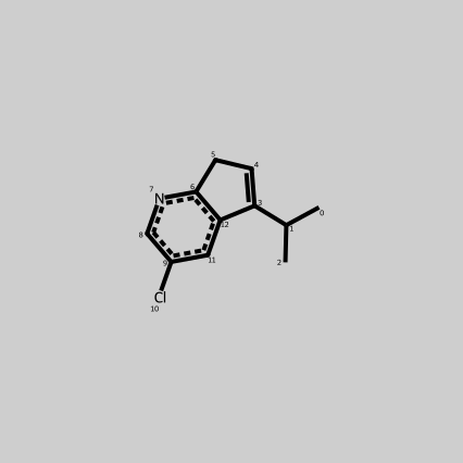 CC(C)C1=CCc2ncc(Cl)cc21